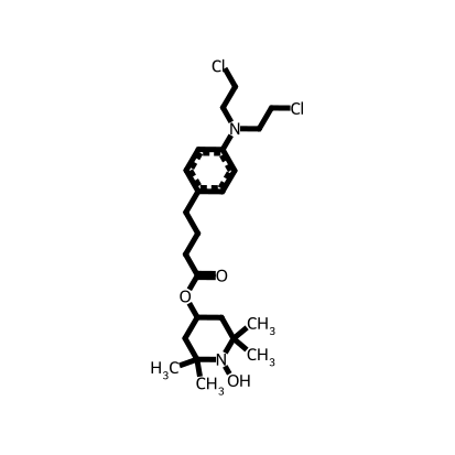 CC1(C)CC(OC(=O)CCCc2ccc(N(CCCl)CCCl)cc2)CC(C)(C)N1O